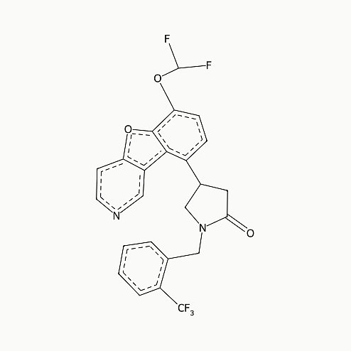 O=C1CC(c2ccc(OC(F)F)c3oc4ccncc4c23)CN1Cc1ccccc1C(F)(F)F